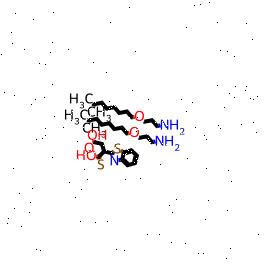 CC(C)CCCCCCOCCCN.CC(C)CCCCCCOCCCN.O=C(O)CC(C(O)=S)c1nc2ccccc2s1